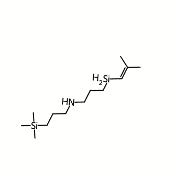 CC(C)=C[SiH2]CCCNCCC[Si](C)(C)C